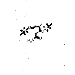 C[C@H](C=CO[Si](C)(C)C(C)(C)C)[C@H](CC(N)=O)O[Si](C)(C)C(C)(C)C